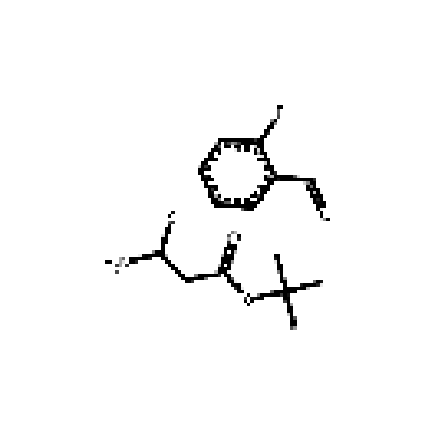 CC(C)(C)OC(=O)CC(N)S.O=Cc1ccccc1F